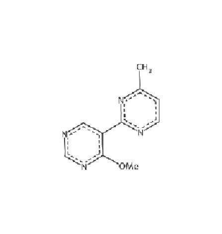 COc1ncncc1-c1nccc(C)n1